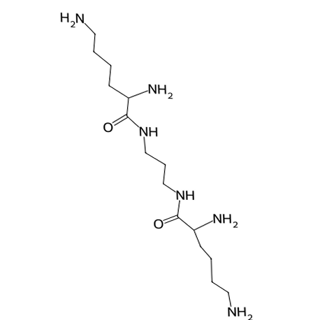 NCCCCC(N)C(=O)NCCCNC(=O)C(N)CCCCN